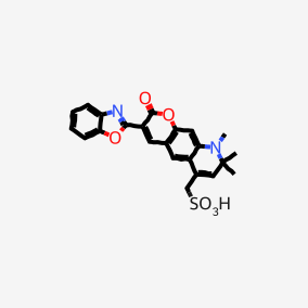 CN1c2cc3oc(=O)c(-c4nc5ccccc5o4)cc3cc2C(CS(=O)(=O)O)=CC1(C)C